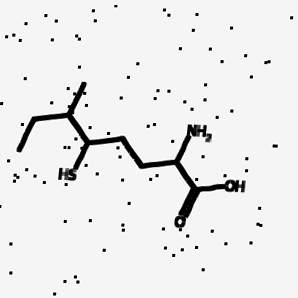 CCC(C)C(S)CCC(N)C(=O)O